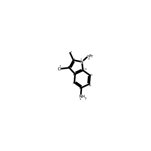 CCCn1c(C)c(Cl)c2cc(N)ccc21